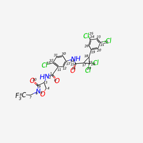 O=C(NC1CON(CC(F)(F)F)C1=O)c1cc(NC(=O)C2C(c3cc(Cl)cc(Cl)c3)C2(Cl)Cl)ccc1Cl